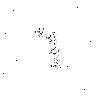 CC1(C)C=C(CCCC2=CC(C)(C)C=C(CCCC(C)(C)C(=O)O)[S+]2[O-])[S+]([O-])C(CCCC(C)(C)C(=O)O)=C1